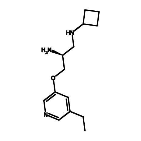 CCc1cncc(OC[C@@H](N)CNC2CCC2)c1